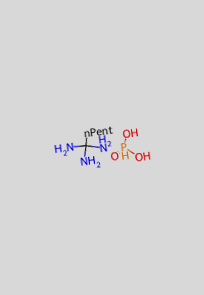 CCCCCC(N)(N)N.O=[PH](O)O